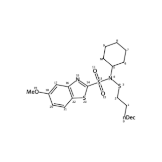 CCCCCCCCCCCCSN(C1CCCCC1)S(=O)(=O)c1nc2cc(OC)ccc2s1